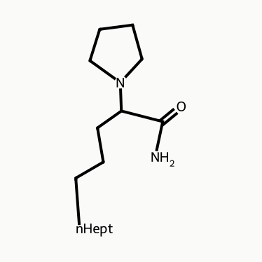 CCCCCCCCCCC(C(N)=O)N1CCCC1